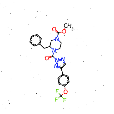 COC(=O)N1CCN(C(=O)n2ncc(-c3ccc(OC(F)(F)F)cc3)n2)C(Cc2ccccc2)C1